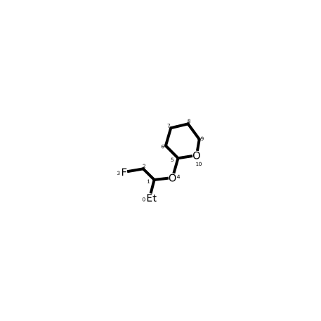 CCC(CF)OC1CCCCO1